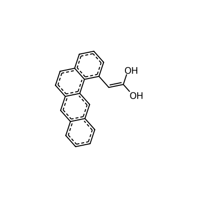 OC(O)=Cc1cccc2ccc3cc4ccccc4cc3c12